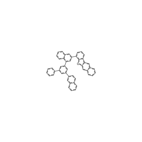 c1ccc(-c2cc(-c3ccc4ccccc4c3)cc(-c3cc(-c4cccc5c4oc4cc6ccccc6cc45)cc4ccccc34)c2)cc1